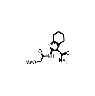 COCC(=O)Nc1sc2c(c1C(N)=O)CCCC2